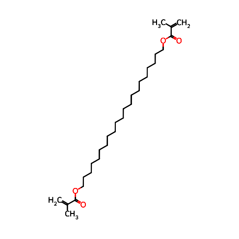 C=C(C)C(=O)OCCCCCCCCCCCCCCCCCCCCCOC(=O)C(=C)C